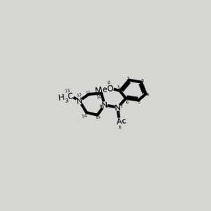 COc1ccccc1N(C(C)=O)N1CCN(C)CC1